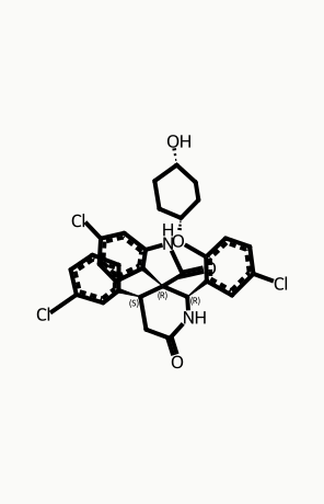 O=C1C[C@@H](c2cccc(Cl)c2)[C@]2(C(=O)Nc3cc(Cl)ccc32)[C@@H](c2cc(Cl)ccc2O[C@H]2CC[C@@H](O)CC2)N1